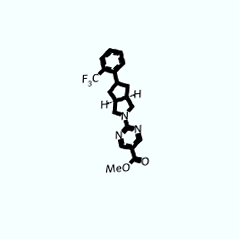 COC(=O)c1cnc(N2C[C@H]3CC(c4ccccc4C(F)(F)F)C[C@H]3C2)nc1